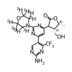 [2H]C1([2H])OC([2H])([2H])C([2H])([2H])N(c2nc(-c3cnc(N)nc3C(F)(F)F)cc(C3C(=O)O[C@H](C)[C@@H]3CO)n2)C1([2H])[2H]